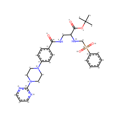 CC(C)(C)OC(=O)C(CNC(=O)c1ccc(N2CCN(c3ncccn3)CC2)cc1)NCS(=O)(=O)c1ccccc1